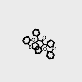 O=C(C(c1ccccc1)C1(Oc2ccccc2Br)C=CC=CC1)C(c1ccccc1)C1(Oc2ccccc2Br)C=CC=CC1